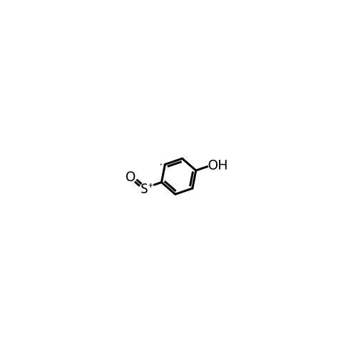 O=[S+]c1[c]cc(O)cc1